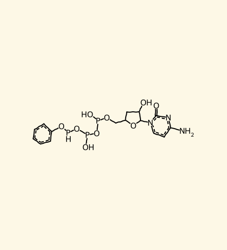 Nc1ccn(C2OC(COP(O)OP(O)OPOc3ccccc3)CC2O)c(=O)n1